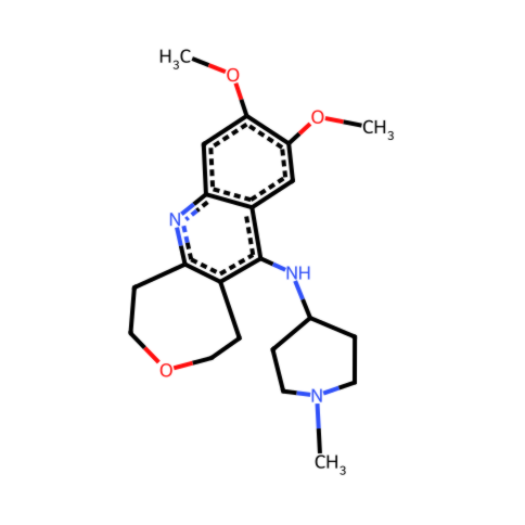 COc1cc2nc3c(c(NC4CCN(C)CC4)c2cc1OC)CCOCC3